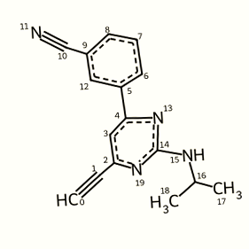 C#Cc1cc(-c2cccc(C#N)c2)nc(NC(C)C)n1